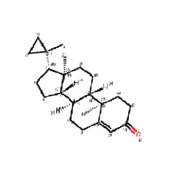 CC1([C@H]2CC[C@H]3[C@@H]4CCC5=CC(=O)CC[C@]5(C)[C@H]4CC[C@]23C)CC1